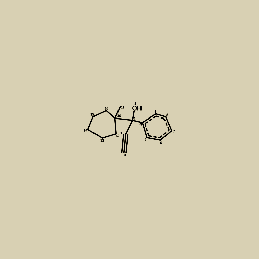 C#CC(O)(c1ccccc1)C1(C)CCCCC1